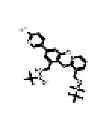 CC(C)(C)[S+]([O-])NCc1cc(-c2ccc(O)nc2)cc(Cl)c1Sc1ncccc1CO[Si](C)(C)C(C)(C)C